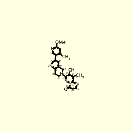 COc1cc(C)c(-c2cnc3c(c2)CN(c2nn4c(=O)ccnc4c(C)c2C)CC3)cn1